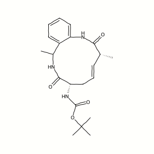 CC1NC(=O)[C@@H](NC(=O)OC(C)(C)C)C/C=C/[C@@H](C)C(=O)Nc2ccccc21